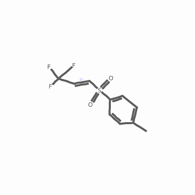 Cc1ccc(S(=O)(=O)/C=C/C(F)(F)F)cc1